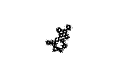 c1ccc(-c2ccc(-c3nc(-c4ccccc4)nc(-c4cccc(-c5cccc(-c6cccc(-c7cccc(-c8cccc(-c9cc(-c%10ccccc%10)cc(-c%10ccccc%10)c9)c8)c7)c6)c5)c4)n3)cc2)cc1